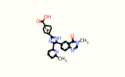 Cc1cccc(-c2nc(C34CCC(C(=O)O)(CC3)CC4)[nH]c2-c2ccc3ncn(C)c(=O)c3c2)n1